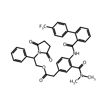 CN(C)C(=O)c1cc(CC(=O)OCC(c2ccccc2)N2C(=O)CCC2=O)ccc1NC(=O)c1ccccc1-c1ccc(C(F)(F)F)cc1